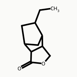 CCC1CC2CC1C1COC(=O)C21